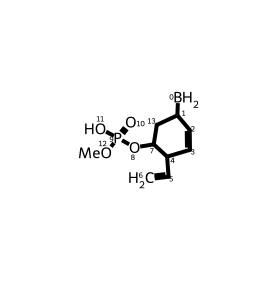 BC1C=CC(C=C)C(OP(=O)(O)OC)C1